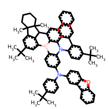 CC(C)(C)c1ccc(N(c2ccc3c(c2)N(c2ccc(C(C)(C)C)cc2-c2ccccc2)c2cc(-c4ccccc4)cc4c2B3c2cc(C(C)(C)C)cc3c2C4C2(C)CCCCC32C)c2ccc3oc4ccccc4c3c2)cc1